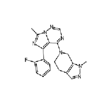 Cc1nc(-c2ccccc2F)c2c(N3CCc4cnn(C)c4C3)ncnn12